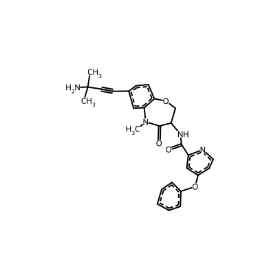 CN1C(=O)C(NC(=O)c2cc(Oc3ccccc3)ccn2)COc2ccc(C#CC(C)(C)N)cc21